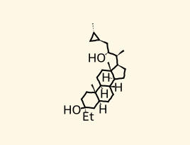 CC[C@]1(O)CC[C@@]2(C)[C@@H](CC[C@@H]3[C@@H]2CC[C@]2(C)[C@@H]([C@H](C)[C@H](O)C[C@H]4C[C@@H]4C)CC[C@@H]32)C1